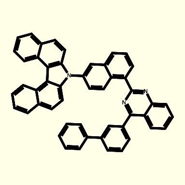 c1ccc(-c2cccc(-c3nc(-c4cccc5cc(-n6c7ccc8ccccc8c7c7c8ccccc8ccc76)ccc45)nc4ccccc34)c2)cc1